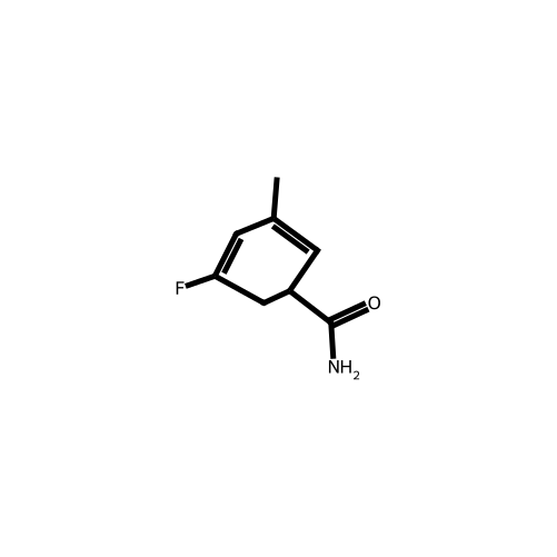 CC1=CC(C(N)=O)CC(F)=C1